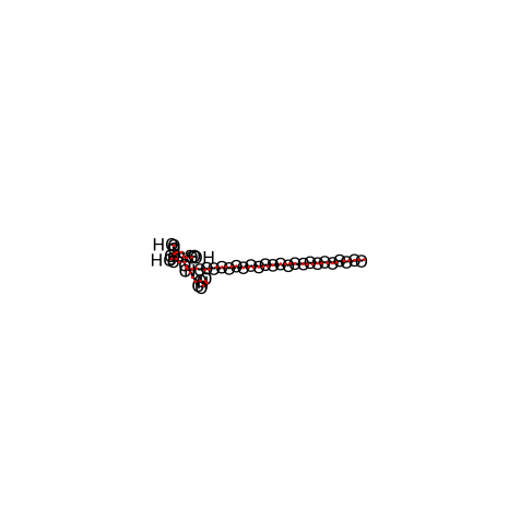 COCCOCCOCCOCCOCCOCCOCCOCCOCCOCCOCCOCCOCCOCCOCCOCCOCCOCCOCCOCCOCCOCCOCCCN(CCCCCC(=O)ON1C(=O)CCC1=O)C(=O)COC1=CC(SOOO)=C2C=CC3=C(SOOO)C=C(S(=O)(=O)O)C4=CC=C1C2C43